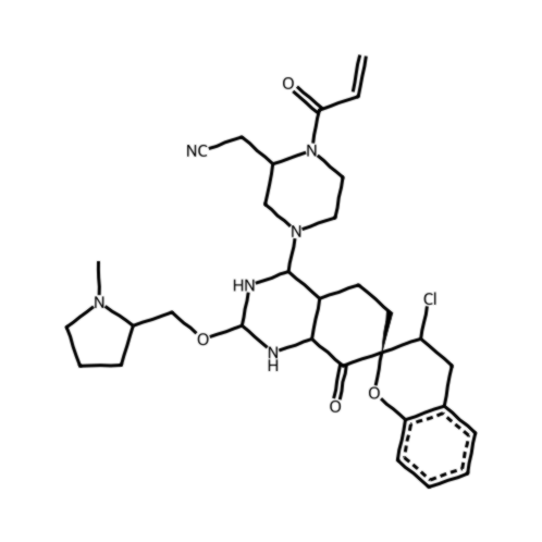 C=CC(=O)N1CCN(C2NC(OCC3CCCN3C)NC3C(=O)[C@@]4(CCC32)Oc2ccccc2CC4Cl)CC1CC#N